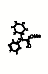 COC(=O)N(c1ccccc1)C1CCCCC1